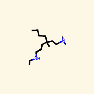 CCCCC(C)(CCCNCC)CCN(C)C